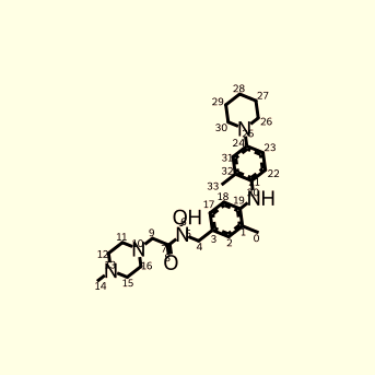 Cc1cc(CN(O)C(=O)CN2CCN(C)CC2)ccc1Nc1ccc(N2CCCCC2)cc1C